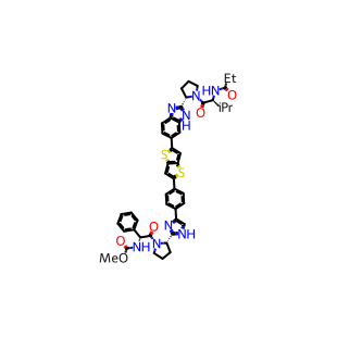 CCC(=O)N[C@H](C(=O)N1CCC[C@H]1c1nc2ccc(-c3cc4sc(-c5ccc(-c6c[nH]c([C@@H]7CCCN7C(=O)[C@H](NC(=O)OC)c7ccccc7)n6)cc5)cc4s3)cc2[nH]1)C(C)C